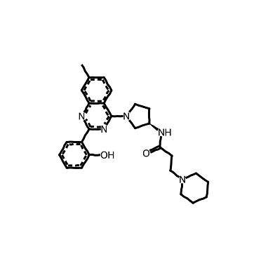 Cc1ccc2c(N3CC[C@@H](NC(=O)CCN4CCCCC4)C3)nc(-c3ccccc3O)nc2c1